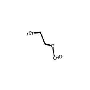 [CH2]CCCCO[C]=O